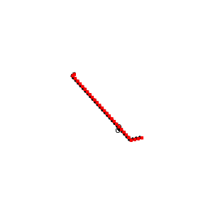 CCCCCC/C=C\CCCCCCCC(=O)OCCCCCCCCCCCCCCCCCCCCCCCCCCCCCCCCCCCCCC(C)CC